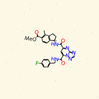 COC(=O)c1ccc2c(c1C)CC[C@@H]2NC(=O)c1cc(C(=O)NCc2ccc(F)cc2)n2ncnc2n1